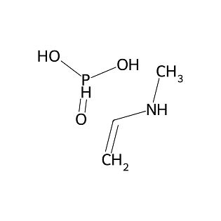 C=CNC.O=[PH](O)O